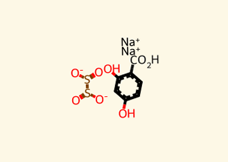 O=C(O)c1ccc(O)cc1O.O=S([O-])S(=O)[O-].[Na+].[Na+]